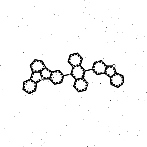 c1ccc2c(c1)oc1ccc(-c3c4ccccc4c(-c4ccc5c(c4)c4cccc6c7ccccc7n5c64)c4ccccc34)cc12